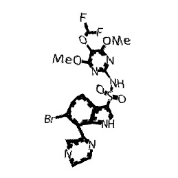 COc1nc(NS(=O)(=O)c2c[nH]c3c(-c4cnccn4)c(Br)ccc23)nc(OC)c1OC(F)F